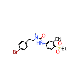 CCS(=O)(=O)c1ccc(NC(=O)N(C)CCc2ccc(Br)cc2)cc1C#N